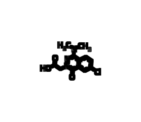 CN(C)c1nn(CC(=O)O)c(=O)c2cc(Cl)ccc12